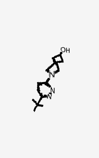 CC(C)(C)c1ccc(N2CC3(CC(O)C3)C2)nn1